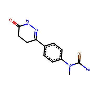 CN(C(N)=S)c1ccc(C2=NNC(=O)CC2)cc1